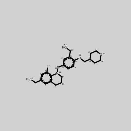 CCc1cc(F)c2c(c1)CCCN2Sc1ccc(OCC2CCOCC2)c(CO)c1